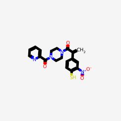 C=C(C(=O)N1CCN(C(=O)c2ccccn2)CC1)c1ccc(S)c([N+](=O)[O-])c1